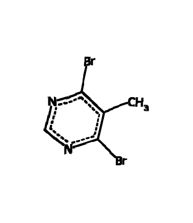 Cc1c(Br)ncnc1Br